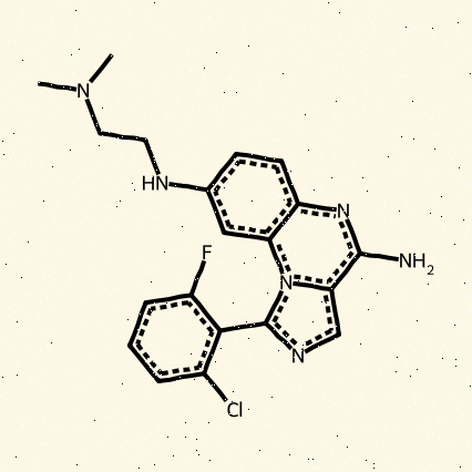 CN(C)CCNc1ccc2nc(N)c3cnc(-c4c(F)cccc4Cl)n3c2c1